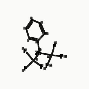 F[C](F)(F)[Zn]([c]1ccccc1)[C](F)(F)F